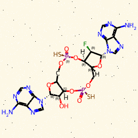 Nc1ncnc2c1ncn2[C@@H]1OC2CO[P@@](=O)(S)O[C@H]3[C@@H](F)[C@H](n4cnc5c(N)ncnc54)O[C@@H]3COP(=O)(S)O[C@H]2[C@H]1O